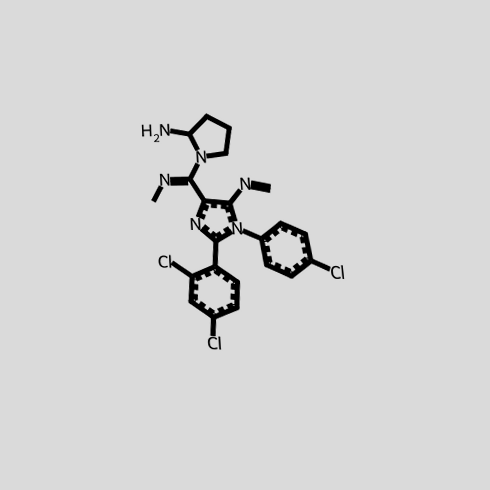 C=Nc1c(/C(=N\C)N2CCCC2N)nc(-c2ccc(Cl)cc2Cl)n1-c1ccc(Cl)cc1